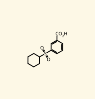 O=C(O)c1cccc(S(=O)(=O)C2CCCCC2)c1